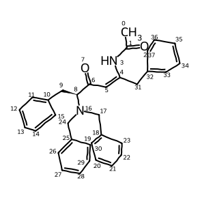 CC(=O)N/C(=C\C(=O)[C@H](Cc1ccccc1)N(Cc1ccccc1)Cc1ccccc1)Cc1ccccc1